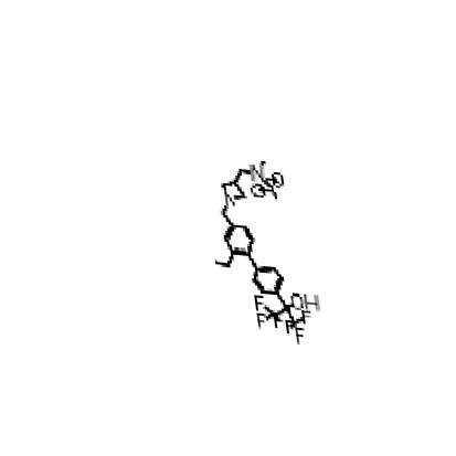 CCc1cc(CN2CC(CN(C)S(C)(=O)=O)C2)ccc1-c1ccc(C(O)(C(F)(F)F)C(F)(F)F)cc1